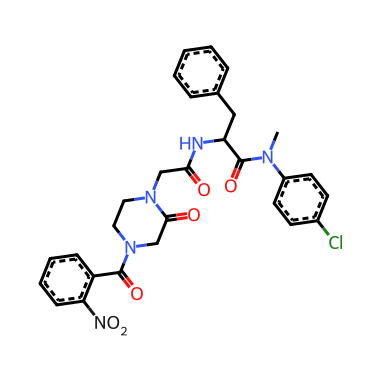 CN(C(=O)C(Cc1ccccc1)NC(=O)CN1CCN(C(=O)c2ccccc2[N+](=O)[O-])CC1=O)c1ccc(Cl)cc1